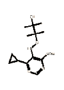 COc1ncnc(C2CC2)c1BOC(C)(C)C(C)(C)O